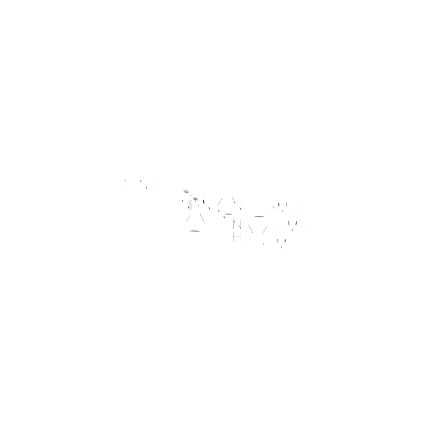 COc1cc(Nc2ncc(F)c(Nc3cccc(C)c3N(CCCNC(C)=O)S(C)(=O)=O)n2)cc(OC)c1OC